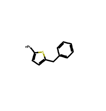 C[CH]Cc1ccc(Cc2ccccc2)s1